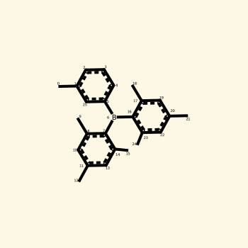 Cc1cccc(B(c2c(C)cc(C)cc2C)c2c(C)cc(C)cc2C)c1